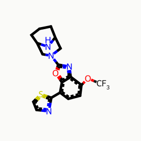 FC(F)(F)Oc1ccc(-c2nccs2)c2oc(N3CC4CCCC(C3)N4)nc12